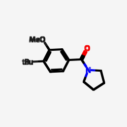 COc1cc(C(=O)N2CCCC2)ccc1C(C)(C)C